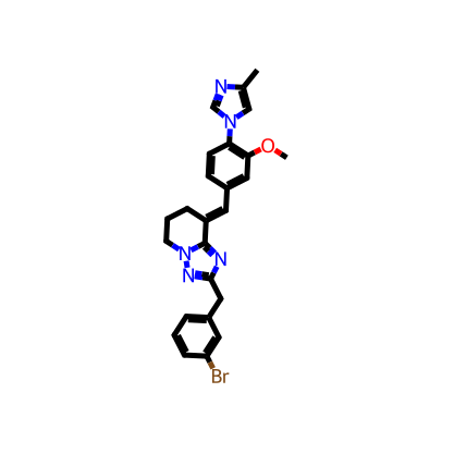 COc1cc(/C=C2\CCCn3nc(Cc4cccc(Br)c4)nc32)ccc1-n1cnc(C)c1